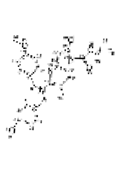 COc1ccc(CN(Cc2ccc(OC)cc2)c2nc3cc(Cl)n(C(=O)OC(C)(C)C)c3cc2C)cc1